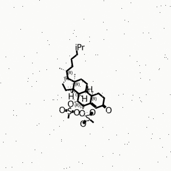 CC(C)CCC[C@@H](C)[C@H]1CC[C@H]2[C@@H]3[C@@H](OS(C)(=O)=O)[C@@H](OS(C)(=O)=O)C4=CC(=O)CC[C@]4(C)[C@H]3CC[C@]12C